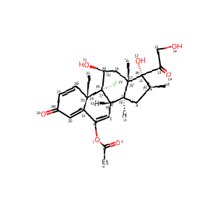 CCC(=O)OC1=C[C@H]2[C@@H]3C[C@H](C)[C@](O)(C(=O)CO)[C@@]3(C)C[C@H](O)[C@]2(F)[C@@]2(C)C=CC(=O)C=C12